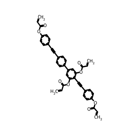 C=CC(=O)Oc1ccc(C#Cc2ccc(-c3cc(OC(=O)C=C)c(C#Cc4ccc(OC(=O)C=C)cc4)c(OC(=O)C=C)c3)cc2)cc1